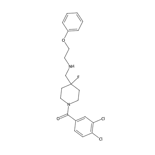 O=C(c1ccc(Cl)c(Cl)c1)N1CCC(F)(CNCCOc2ccccc2)CC1